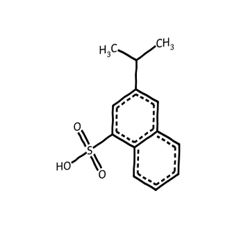 CC(C)c1cc(S(=O)(=O)O)c2ccccc2c1